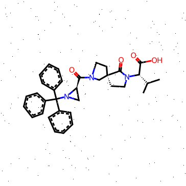 CC(C)[C@@H](C(=O)O)N1CC[C@]2(CCN(C(=O)[C@H]3CN3C(c3ccccc3)(c3ccccc3)c3ccccc3)C2)C1=O